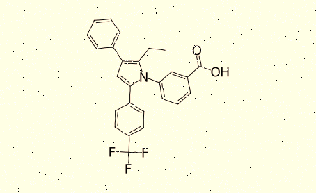 CCc1c(-c2ccccc2)cc(-c2ccc(C(F)(F)F)cc2)n1-c1cccc(C(=O)O)c1